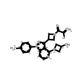 C=C(F)C(=O)N1CC(c2nn(-c3ccc(C)cc3)c3ccnc(N4CC(O)C4)c23)C1